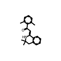 Cc1cccc(C)c1C(=O)/C=C1\NC(C)(C)Cc2ccccc21